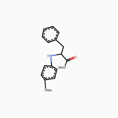 COC(=O)C(Cc1ccccc1)Nc1ccc(OC)cc1